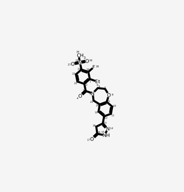 CCc1c(C(=O)N2CCOc3ccc(C4=NNC(=O)C4)cc3C2)ccc(S(C)(=O)=O)c1F